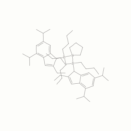 CCC[CH2][Zr]([CH2]CCC)([CH]1C(CC)=Cc2c(C(C)C)cc(C(C)C)cc21)[Si]1([Zr]([CH2]CCC)([CH2]CCC)[CH]2C(CC)=Cc3c(C(C)C)cc(C(C)C)cc32)CCCC1